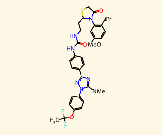 CNc1nc(-c2ccc(NC(=O)NCCC3SCC(=O)N3c3cc(OC)ccc3C(C)C)cc2)nn1-c1ccc(OC(F)(F)C(F)(F)F)cc1